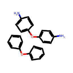 Nc1ccc(Oc2ccc(N)cc2)cc1.c1ccc(Oc2ccccc2)cc1